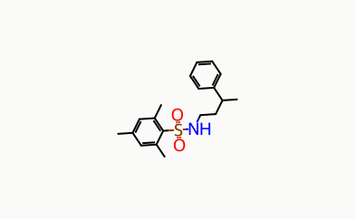 Cc1cc(C)c(S(=O)(=O)NCCC(C)c2ccccc2)c(C)c1